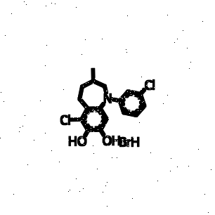 Br.CC1CCc2c(cc(O)c(O)c2Cl)N(c2cccc(Cl)c2)C1